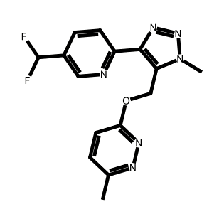 Cc1ccc(OCc2c(-c3ccc(C(F)F)cn3)nnn2C)nn1